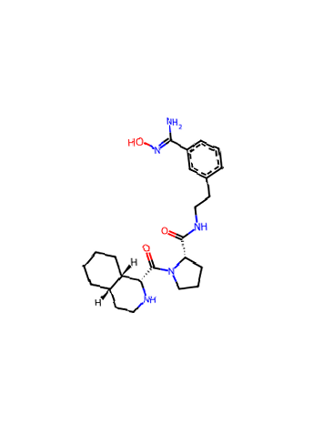 NC(=NO)c1cccc(CCNC(=O)[C@@H]2CCCN2C(=O)[C@@H]2NCC[C@@H]3CCCC[C@@H]32)c1